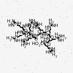 N=C(N)NCCC[C@H](NC(=O)[C@H](CCCNC(=N)N)NC(=O)[C@H](CCCNC(=N)N)NC(=O)[C@H](CCCNC(=N)N)NC(=O)CNC(=O)[C@H](CCCNC(=N)N)NC(=O)[C@H](CCCNC(=N)N)NC(=O)[C@H](CCCNC(=N)N)NC(=O)[C@@H](N)CCCNC(=N)N)C(=O)O